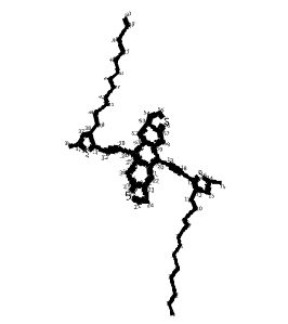 CCCCCCCCCCCCc1cc(C)sc1C#Cc1c2cc3ccsc3cc2c(C#Cc2sc(C)cc2CCCCCCCCCCCC)c2cc3ccsc3cc12